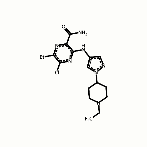 CCc1nc(C(N)=O)c(Nc2cnn(C3CCN(CC(F)(F)F)CC3)c2)nc1Cl